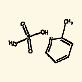 Cc1ccccn1.O=S(=O)(O)O